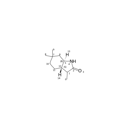 CC1C(=O)N[C@@H]2CC(C)(C)CC[C@@H]12